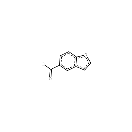 [O]C(=O)c1ccc2occc2c1